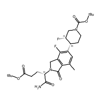 Cc1cc([C@H]2CCN(C(=O)OC(C)(C)C)C[C@H]2F)c(F)c2c1C(=O)N([C@@H](CCC(=O)OC(C)(C)C)C(N)=O)C2